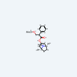 COOCC(C(=O)O[C@H]1C[C@H]2CC[C@@H](C1)N2C)c1ccccc1